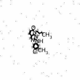 CCCCn1c(=O)ccc2cnc(Nc3ccc(Cl)c(C)c3)nc21